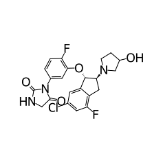 O=C1CNC(=O)N1c1ccc(F)c(O[C@H]2c3cc(Cl)cc(F)c3C[C@@H]2N2CCC(O)C2)c1